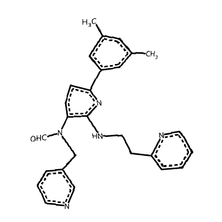 Cc1cc(C)cc(-c2ccc(N(C=O)Cc3cccnc3)c(NCCc3ccccn3)n2)c1